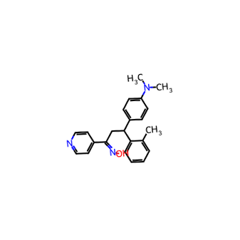 Cc1ccccc1C(C/C(=N\O)c1ccncc1)c1ccc(N(C)C)cc1